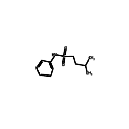 CC(C)CCS(=O)(=O)Nc1cccnc1